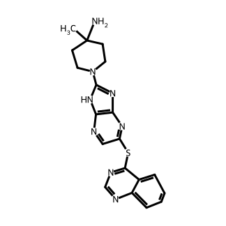 CC1(N)CCN(c2nc3nc(Sc4ncnc5ccccc45)cnc3[nH]2)CC1